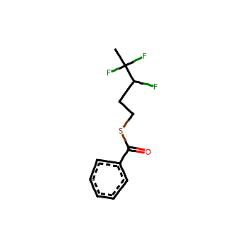 CC(F)(F)C(F)CCSC(=O)c1ccccc1